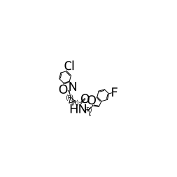 C[C@@H](NC(=O)[C@@H]1C[C@H]1c1nc2cc(Cl)ccc2o1)c1cc2cc(F)ccc2o1